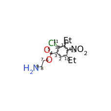 CCc1cc(C(=O)OCCN)c(Cl)c(CC)c1[N+](=O)[O-]